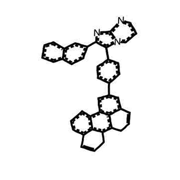 C1=Cc2cccc3c2c(c2c4c(cc(-c5ccc(-c6c(-c7ccc8ccccc8c7)nc7ncccn67)cc5)cc43)C=CC2)C1